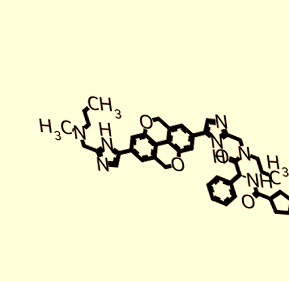 CCCN(C)Cc1ncc(-c2cc3c4c(c2)OCc2cc(-c5cnc(CN(CCC)C(=O)[C@H](NC(=O)C6CCCC6)c6ccccc6)[nH]5)cc(c2-4)OC3)[nH]1